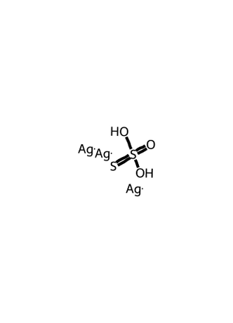 O=S(O)(O)=S.[Ag].[Ag].[Ag]